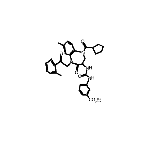 CCOC(=O)c1cccc(NC(=O)NC2CN(C(=O)C3CCCC3)c3ccc(C)cc3N(CC(=O)c3ccccc3C)C2=O)c1